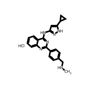 CNCc1ccc(-c2nc(Nc3cc(C4CC4)[nH]n3)c3ccccc3n2)cc1.Cl